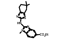 CCOC(=O)c1ccc2c(c1)nc(Nc1nc3c(s1)CC(C)(C)CC3)n2C